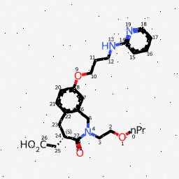 CCCOCCN1Cc2cc(OCCCNc3ccccn3)ccc2C[C@@H](CC(=O)O)C1=O